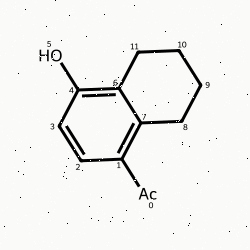 CC(=O)c1ccc(O)c2c1CCCC2